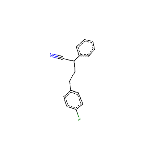 N#CC(CCc1ccc(F)cc1)c1ccccc1